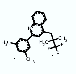 Cc1cc(C)cc(-c2cc(CC(C)(C)C(F)(F)F)c3ccccc3n2)c1